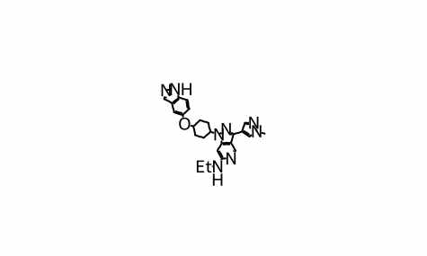 CCNc1cc2c(cn1)c(-c1cnn(C)c1)nn2C1CCC(Oc2ccc3[nH]ncc3c2)CC1